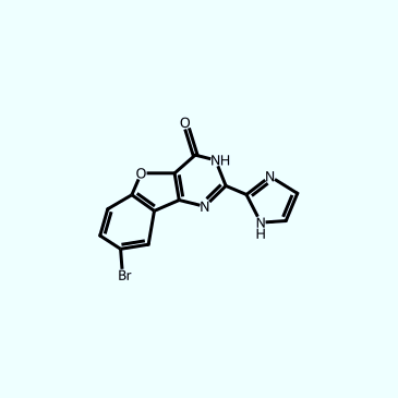 O=c1[nH]c(-c2ncc[nH]2)nc2c1oc1ccc(Br)cc12